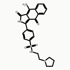 NC1=C2C(=O)NC(c3ccc(S(=O)(=O)NCCN4CCCC4)cc3)=C2C(=O)c2ccccc21